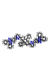 c1ccc(-c2c3ccc(-c4cccc(-c5ccc6c(c5)nc(-c5ccccc5)n6-c5ccccc5)n4)cc3c(-c3ccccc3)c3ccc(-c4cccc(-c5ccc6c(c5)nc(-c5ccccc5)n6-c5ccccc5)n4)cc23)cc1